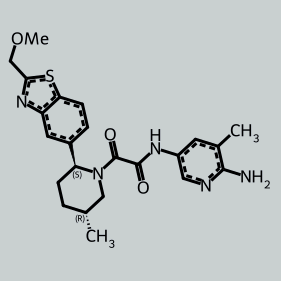 COCc1nc2cc([C@@H]3CC[C@@H](C)CN3C(=O)C(=O)Nc3cnc(N)c(C)c3)ccc2s1